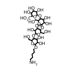 NCCCCCO[C@H]1OC(CO)[C@H](O[C@H]2OC(CO)[C@@H](O[C@@H]3OC(CO)[C@@H](O[C@@H]4OC(C(=O)O)[C@@H](O)[C@H](O)C4O)[C@H](O)C3O)[C@H](O)C2O)[C@H](O)C1O